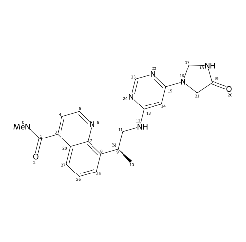 CNC(=O)c1ccnc2c([C@H](C)CNc3cc(N4CNC(=O)C4)ncn3)cccc12